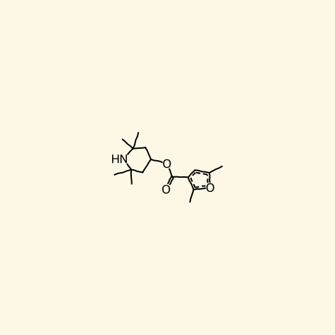 Cc1cc(C(=O)OC2CC(C)(C)NC(C)(C)C2)c(C)o1